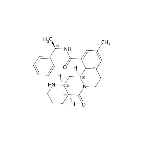 Cc1cc2c(c(C(=O)N[C@H](C)c3ccccc3)c1)[C@@H]1C[C@@H]3NCCC[C@@H]3C(=O)N1CC2